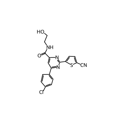 N#Cc1ccc(-c2nc(C(=O)NCCO)cc(-c3ccc(Cl)cc3)n2)s1